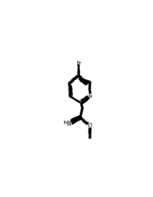 COC(=N)c1ccc(Br)cn1